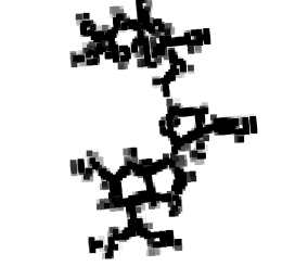 C#C[C@@]1(F)C[C@@H](COP(=O)(O)OP(=O)(O)OP(=O)(O)O)O[C@H]1n1cnc2c(N(C)C)nc(N)nc21